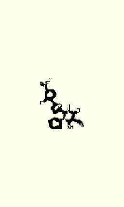 N#CC1=C(S)N(c2ccccc2)C(c2ccc(-c3ccc([N+](=O)[O-])cc3Cl)o2)NC1=O